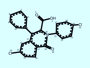 O=C(O)c1c(-c2ccccc2)c2cc(Cl)ccc2c(=O)n1-c1ccc(Cl)cc1